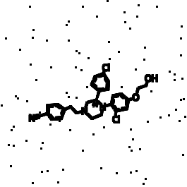 N#Cc1ccc(CCN2CCN(c3ccc(OCCO)cc3Cl)[C@H](c3ccc(Cl)cc3)C2)cc1